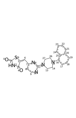 O=C1NC(=O)/C(=C\c2ccnc(N3CCN(c4cccc5ccccc45)CC3)n2)S1